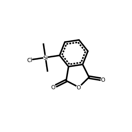 C[Si](C)(Cl)c1cccc2c1C(=O)OC2=O